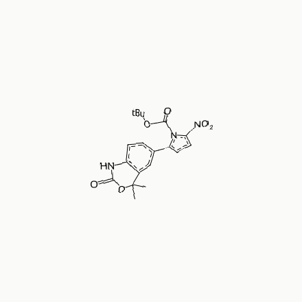 CC(C)(C)OC(=O)n1c(-c2ccc3c(c2)C(C)(C)OC(=O)N3)ccc1[N+](=O)[O-]